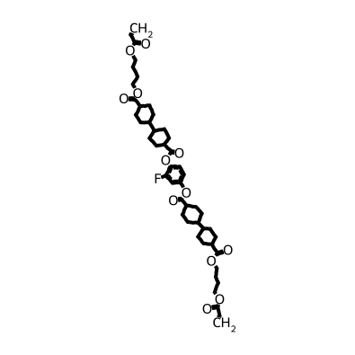 C=CC(=O)OCCCCOC(=O)C1CCC(C2CCC(C(=O)Oc3ccc(OC(=O)C4CCC(C5CCC(C(=O)OCCCCOC(=O)C=C)CC5)CC4)c(F)c3)CC2)CC1